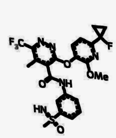 COc1nc(C2(F)CC2)ccc1Oc1nnc(C(F)(F)F)c(C)c1C(=O)Nc1cccc(S(C)(=N)=O)c1